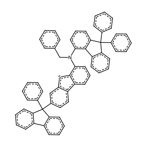 c1ccc(CN(c2cccc3c2-c2ccccc2C3(c2ccccc2)c2ccccc2)c2cccc3c2sc2cc(C4(c5ccccc5)c5ccccc5-c5ccccc54)ccc23)cc1